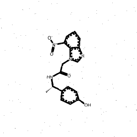 C[C@H](NC(=O)Cn1cnc2cccc([N+](=O)[O-])c21)c1ccc(O)cc1